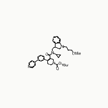 COCCCN1CC(CN(C(=O)C2=C(c3cccc(-c4ccncc4)c3)CCN(C(=O)OC(C)(C)C)C2)C2CC2)c2ccccc21